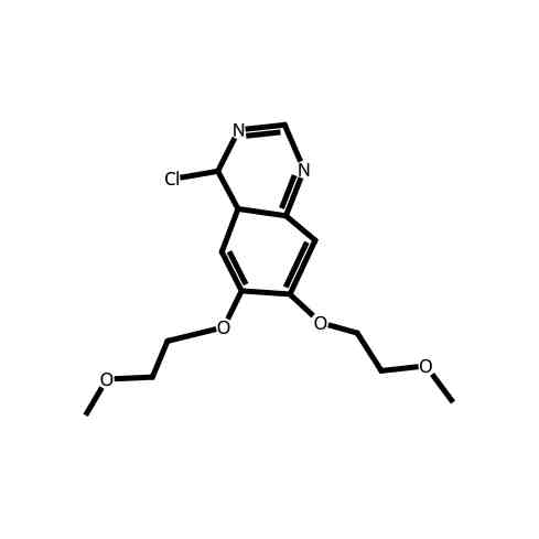 COCCOC1=CC2=NC=NC(Cl)C2C=C1OCCOC